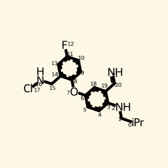 CC(C)CNc1ccc(Oc2ccc(F)cc2CNCl)cc1C=N